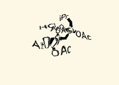 CC(=O)O[Si](CC(C)C)(C[Si](OC(C)=O)(OC(C)=O)OC(C)=O)OC(C)=O.Cl